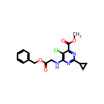 COC(=O)c1nc(C2CC2)nc(NCC(=O)OCc2ccccc2)c1Cl